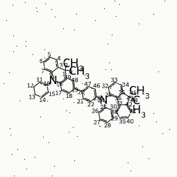 CC1(C)c2ccccc2N(C2=CCCC=C2)c2ccc(-c3ccc(N(c4ccccc4)c4cccc5c4-c4ccccc4C5(C)C)cc3)cc21